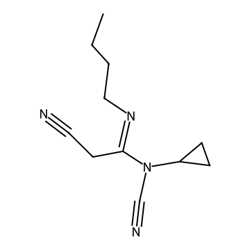 CCCCN=C(CC#N)N(C#N)C1CC1